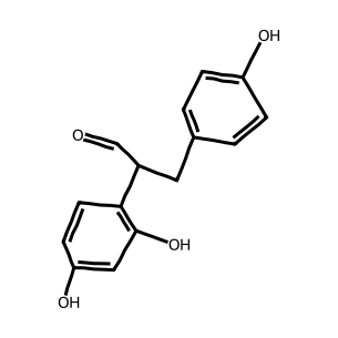 O=CC(Cc1ccc(O)cc1)c1ccc(O)cc1O